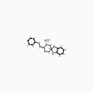 Cl.c1ccc(CCN2CCC3(CC2)Cc2ccccc2O3)cc1